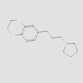 F[C@H]1CCN(CCCc2ccc3c(c2)OCCO3)C1